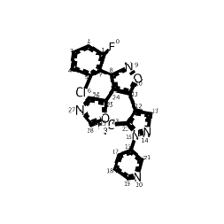 Fc1cccc(Cl)c1-c1noc(-c2cnn(-c3cccnc3)c2C(F)(F)F)c1-c1cnco1